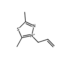 C=CC[n+]1nc(C)sc1C